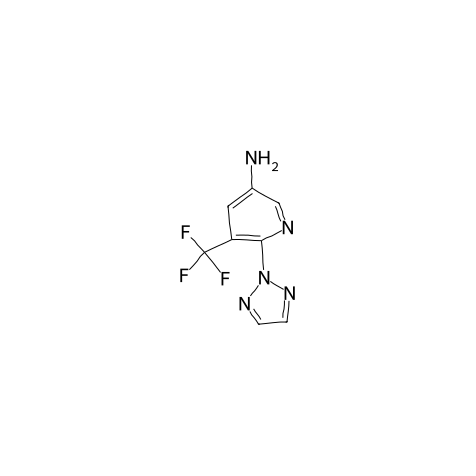 Nc1cnc(-n2nccn2)c(C(F)(F)F)c1